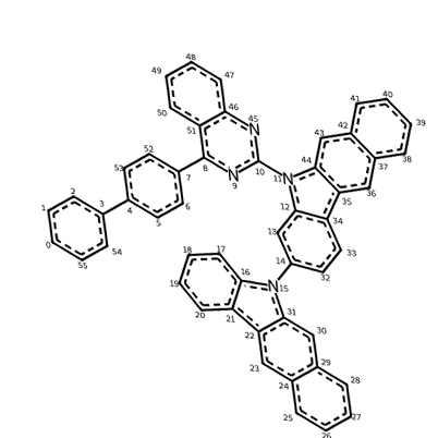 c1ccc(-c2ccc(-c3nc(-n4c5cc(-n6c7ccccc7c7cc8ccccc8cc76)ccc5c5cc6ccccc6cc54)nc4ccccc34)cc2)cc1